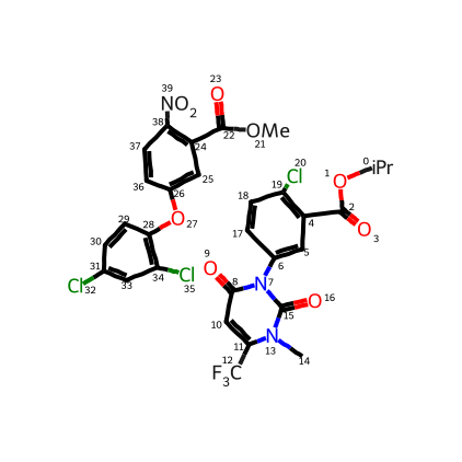 CC(C)OC(=O)c1cc(-n2c(=O)cc(C(F)(F)F)n(C)c2=O)ccc1Cl.COC(=O)c1cc(Oc2ccc(Cl)cc2Cl)ccc1[N+](=O)[O-]